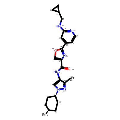 CC[C@H]1CC[C@@H](n2cc(NC(=O)c3coc(-c4ccnc(NCC5CC5)c4)n3)c(C(C)C)n2)CC1